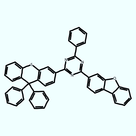 c1ccc(-c2nc(-c3ccc4c(c3)Sc3ccccc3C4(c3ccccc3)c3ccccc3)nc(-c3ccc4c(c3)oc3ccccc34)n2)cc1